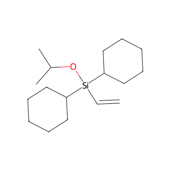 C=C[Si](OC(C)C)(C1CCCCC1)C1CCCCC1